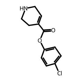 O=C(Oc1ccc(Cl)cc1)C1=CCNCC1